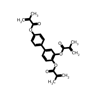 C=C(C)C(=O)Oc1ccc(-c2ccc(OC(=O)C(=C)C)c(OC(=O)C(=C)C)c2)cc1